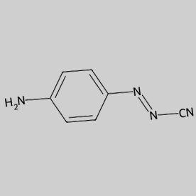 N#C/N=N/c1ccc(N)cc1